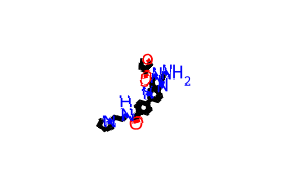 Nc1nc(OC2CCOC2)c2nc(-c3ccc(C(=O)NCCN4CCCC4)cc3)ccc2n1